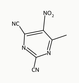 Cc1nc(C#N)nc(C#N)c1[N+](=O)[O-]